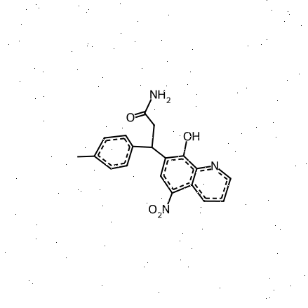 Cc1ccc(C(CC(N)=O)c2cc([N+](=O)[O-])c3cccnc3c2O)cc1